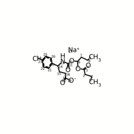 CCCC(=O)OC(CCC)OC(=O)NC(CCC(=O)[O-])c1ccc(Cl)cc1.[Na+]